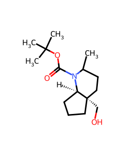 CC1CC[C@@]2(CO)CCC[C@H]2N1C(=O)OC(C)(C)C